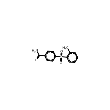 Cc1ccccc1S(=O)(=O)c1ccc(C(N)=O)cc1